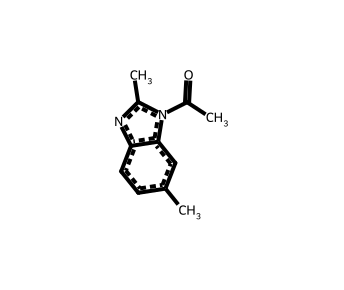 CC(=O)n1c(C)nc2ccc(C)cc21